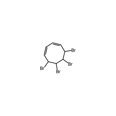 BrC1C=CC=CC(Br)C(Br)C1Br